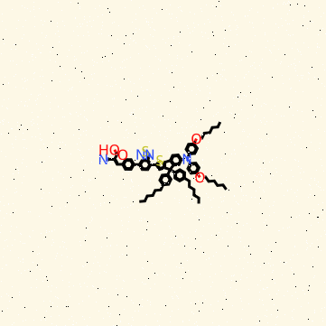 CCCCCCOc1ccc(N(c2ccc(OCCCCCC)cc2)c2ccc3c(c2)C(c2ccc(CCCCCC)cc2)(c2ccc(CCCCCC)cc2)c2cc(-c4ccc(-c5ccc(C=C(C#N)C(=O)O)cc5)c5nsnc45)sc2-3)cc1